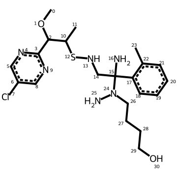 COC(c1ncc(Cl)cn1)C(C)SNCC(N)(c1ccccc1C)N(N)CCCCO